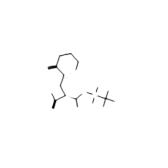 CC(O[Si](C)(C)C(C)(C)C)[C@H]1C(=O)N[C@@H]1[C@H]1SCCCC1=O